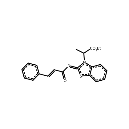 CCOC(=O)C(C)n1c(=NC(=O)C=Cc2ccccc2)sc2ccccc21